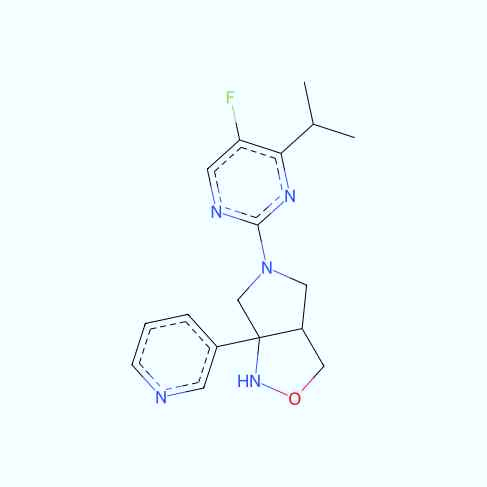 CC(C)c1nc(N2CC3CONC3(c3cccnc3)C2)ncc1F